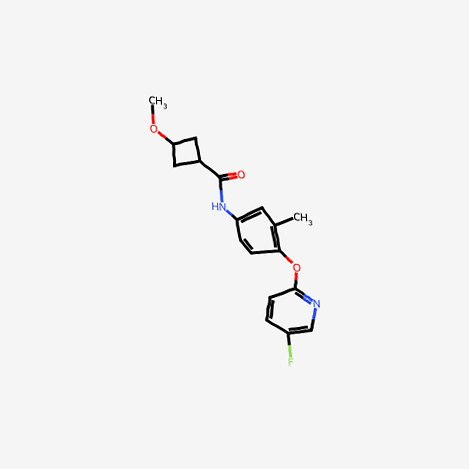 COC1CC(C(=O)Nc2ccc(Oc3ccc(F)cn3)c(C)c2)C1